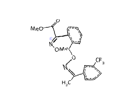 CO/N=C(/C(=O)OC)c1ccccc1CON=C(C)c1cccc(C(F)(F)F)c1